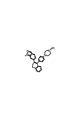 CC(C)N1CCN(c2ccc(C3=C(c4ccc5cnn(C)c5c4)CCc4ccccc43)cc2)CC1